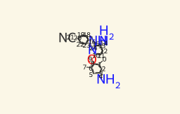 Cc1cc(N)cc(C)c1Oc1ccc(N)c(Nc2ccc(C#N)cc2)n1